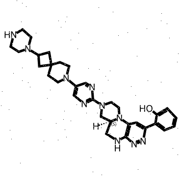 Oc1ccccc1-c1cc2c(nn1)NC[C@H]1CN(c3ncc(N4CCC5(CC4)CC(N4CCNCC4)C5)cn3)CCN21